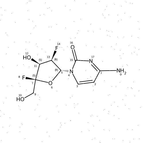 Nc1ccn([C@@H]2O[C@](F)(CO)[C@@H](O)[C@H]2F)c(=O)n1